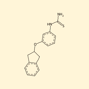 NC(=S)Nc1cccc(OC2Cc3ccccc3C2)c1